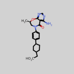 C[C@@H]1CN(c2ccc(C3CCC(CC(=O)O)CC3)cc2)C(=O)c2c(N)ncnc2O1